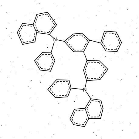 c1ccc(-c2ccc(N(c3ccccc3)c3cccc4ccccc34)cc2-c2cccc(N(c3ccccc3)c3cccc4ccccc34)c2)cc1